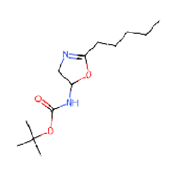 CCCCCC1=NCC(NC(=O)OC(C)(C)C)O1